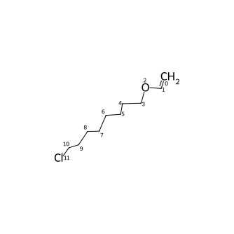 C=COCCCCCCCCCl